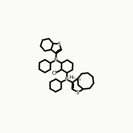 ClC1C(N(C2=CSC3CCCCC23)C2CCCCC2)CCCC1N(C1=CSC2CCCCC[C@H]1C2)C1CCCCC1